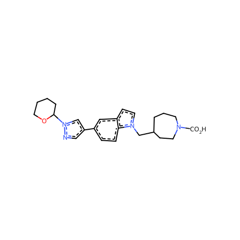 O=C(O)N1CCCC(Cn2ccc3cc(-c4cnn(C5CCCCO5)c4)ccc32)CC1